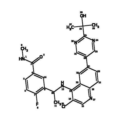 CNC(=O)c1ccc(F)c(C(C)Nc2c(Cl)cnc3ccc(-c4cnc(C(C)(C)O)nc4)cc23)c1